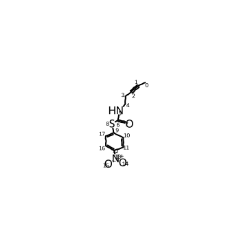 CC#CCCNC(=O)Sc1ccc([N+](=O)[O-])cc1